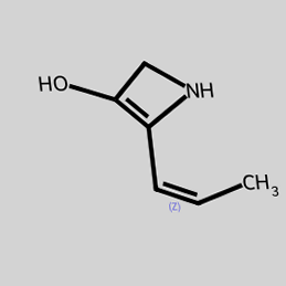 C/C=C\C1=C(O)CN1